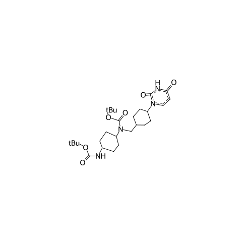 CC(C)(C)OC(=O)NC1CCC(N(CC2CCC(n3ccc(=O)[nH]c3=O)CC2)C(=O)OC(C)(C)C)CC1